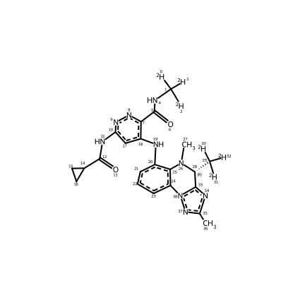 [2H]C([2H])([2H])NC(=O)c1nnc(NC(=O)C2CC2)cc1Nc1cccc2c1N(C)[C@H](C([2H])([2H])[2H])c1nc(C)nn1-2